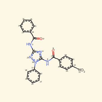 O=C(Nc1nc(NC(=O)c2ccc([N+](=O)[O-])cc2)n(-c2ccccc2)n1)c1ccccc1